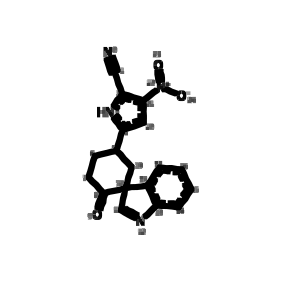 N#Cc1[nH]c(C2CCC(=O)C3(C=Nc4ccccc43)C2)cc1[N+](=O)[O-]